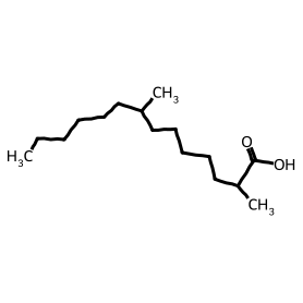 CCCCCCC(C)CCCCCC(C)C(=O)O